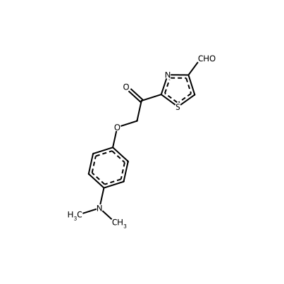 CN(C)c1ccc(OCC(=O)c2nc(C=O)cs2)cc1